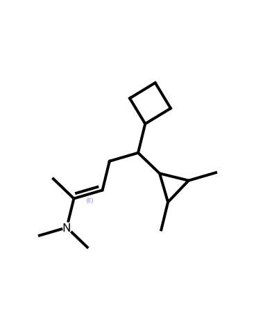 C/C(=C\CC(C1CCC1)C1C(C)C1C)N(C)C